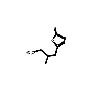 CC(CC(=O)O)Cc1ccc(Br)o1